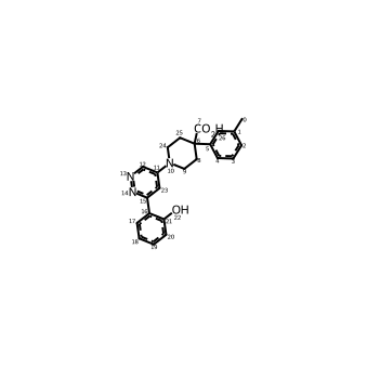 Cc1cccc(C2(C(=O)O)CCN(c3cnnc(-c4ccccc4O)c3)CC2)c1